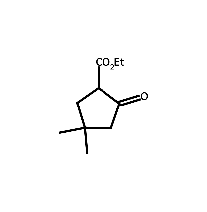 CCOC(=O)C1CC(C)(C)CC1=O